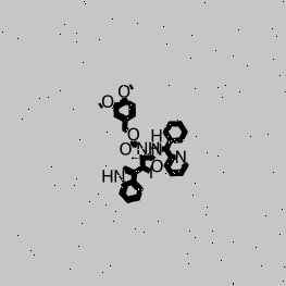 COc1ccc(COC(=O)N[C@@](C)(C(=O)NC(c2ccccn2)C2CCCCC2)C(I)c2c[nH]c3ccccc23)cc1OC